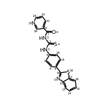 O=C(NC(=S)Nc1ccc(-c2nc3ccccc3s2)cc1)c1cccnc1